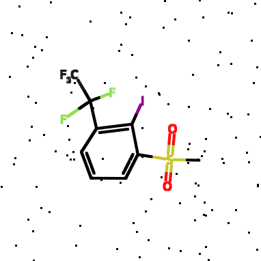 CS(=O)(=O)c1cccc(C(F)(F)C(F)(F)F)c1I